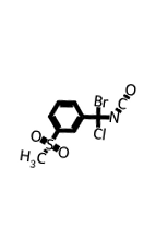 CS(=O)(=O)c1cccc(C(Cl)(Br)N=C=O)c1